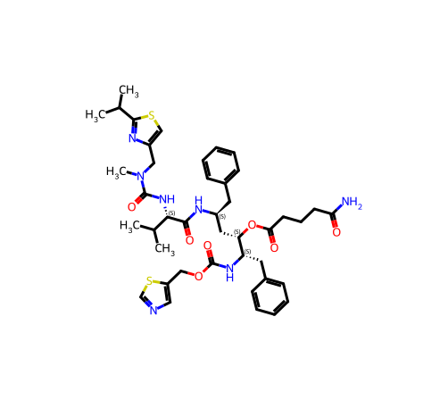 CC(C)c1nc(CN(C)C(=O)N[C@H](C(=O)N[C@@H](Cc2ccccc2)C[C@H](OC(=O)CCCC(N)=O)[C@H](Cc2ccccc2)NC(=O)OCc2cncs2)C(C)C)cs1